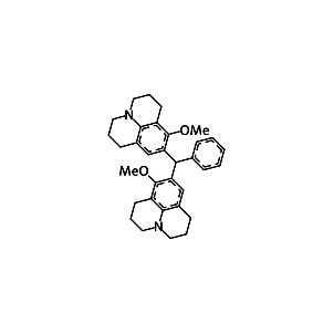 COc1c(C(c2ccccc2)c2cc3c4c(c2OC)CCCN4CCC3)cc2c3c1CCCN3CCC2